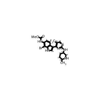 COC(=O)Nc1ccc2c(-c3nc(NC4CCC(C)NC4)ncc3C(F)(F)F)c[nH]c2c1Br